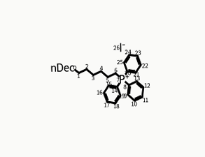 CCCCCCCCCCCCCCCC[P+](c1ccccc1)(c1ccccc1)c1ccccc1.[I-]